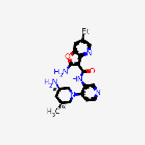 CCc1cnc2c(C(=O)Nc3cnccc3N3C[C@@H](C)C[C@@H](N)C3)c(N)oc2c1